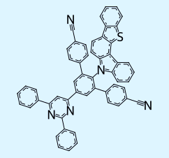 N#Cc1ccc(-c2cc(-c3cc(-c4ccccc4)nc(-c4ccccc4)n3)cc(-c3ccc(C#N)cc3)c2-n2c3ccccc3c3c4sc5ccccc5c4ccc32)cc1